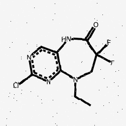 CCN1CC(F)(F)C(=O)Nc2cnc(Cl)nc21